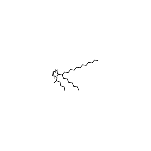 CCCCCCCCCCCCC(CCCCCCC)c1nccn1C(C)CCCC